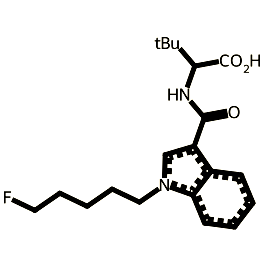 CC(C)(C)C(NC(=O)c1cn(CCCCCF)c2ccccc12)C(=O)O